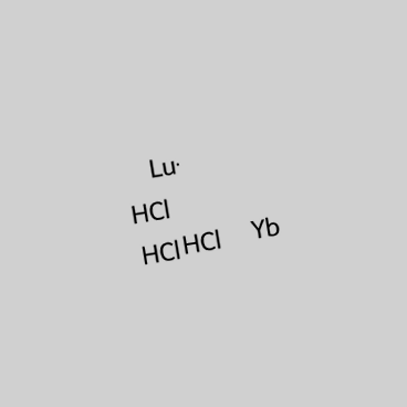 Cl.Cl.Cl.[Lu].[Yb]